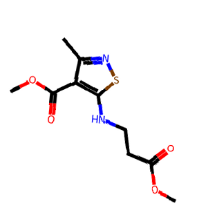 COC(=O)CCNc1snc(C)c1C(=O)OC